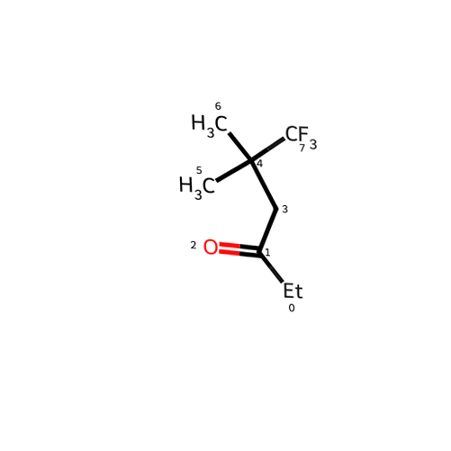 CCC(=O)CC(C)(C)C(F)(F)F